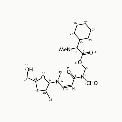 CNC(C(=O)OCN(C=O)C(=O)/C=C\N(C)C1OC(CO)CC1C)C1CCCCC1